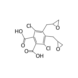 O=C(O)c1c(Cl)c(CC2CO2)c(CC2CO2)c(Cl)c1C(=O)O